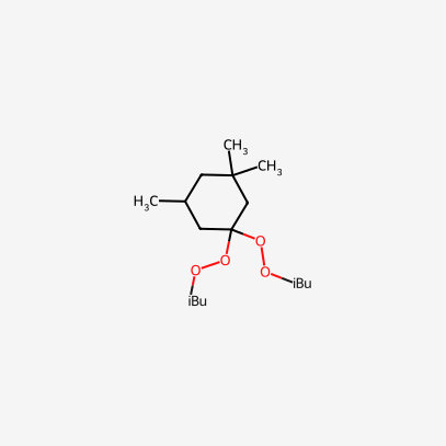 CCC(C)OOC1(OOC(C)CC)CC(C)CC(C)(C)C1